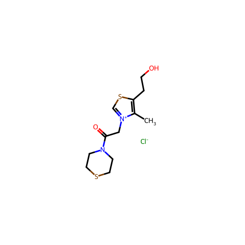 Cc1c(CCO)sc[n+]1CC(=O)N1CCSCC1.[Cl-]